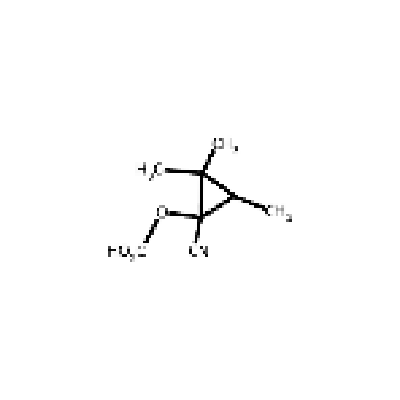 CC1C(C)(C)C1(C#N)OC(=O)O